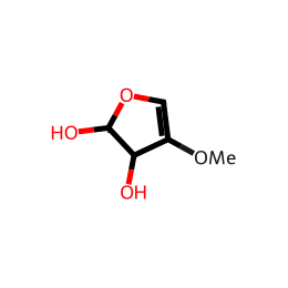 COC1=CO[C](O)C1O